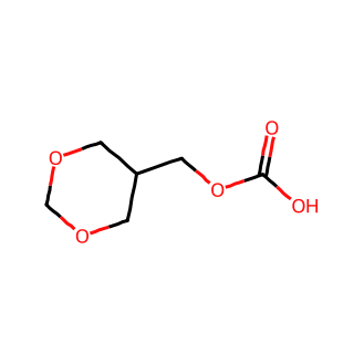 O=C(O)OCC1COCOC1